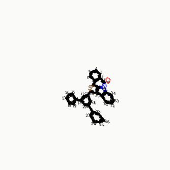 O=c1c2ccccc2c2sc(-c3cc(-c4ccccc4)cc(-c4ccccc4)c3)c3c4ccccc4n1c23